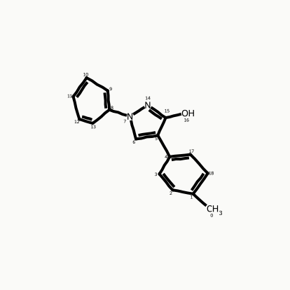 Cc1ccc(-c2cn(-c3ccccc3)nc2O)cc1